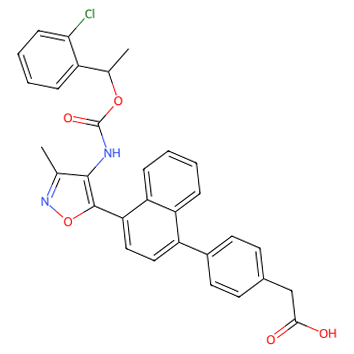 Cc1noc(-c2ccc(-c3ccc(CC(=O)O)cc3)c3ccccc23)c1NC(=O)OC(C)c1ccccc1Cl